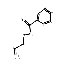 C=C[CH]OOC(=O)c1ccccc1